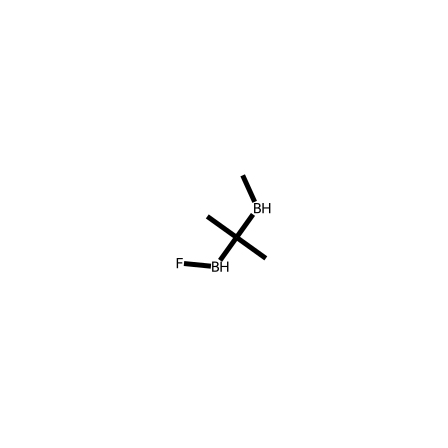 CBC(C)(C)BF